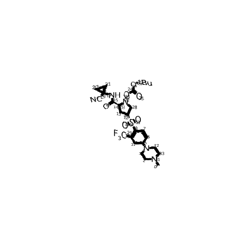 CN1CCN(c2ccc(S(=O)(=O)[C@@H]3C[C@@H](C(=O)NC4(C#N)CC4)N(OC(=O)OC(C)(C)C)C3)c(C(F)(F)F)c2)CC1